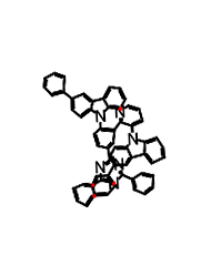 c1ccc(-c2ccc3c(c2)c2ccccc2n3-c2ccc(-c3nc(-c4ccccc4)nc(-c4ccccc4)n3)cc2-c2ncccc2-n2c3ccccc3c3cc(-c4ccccc4)ccc32)cc1